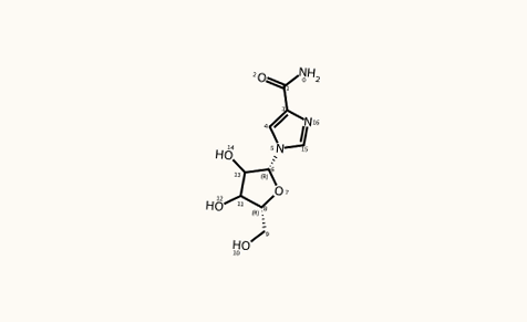 NC(=O)c1cn([C@@H]2O[C@H](CO)C(O)C2O)cn1